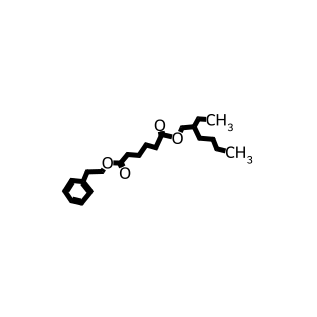 CCCCC(CC)COC(=O)CCCCC(=O)OCCc1ccccc1